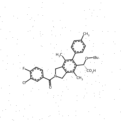 Cc1ccc(-c2c(C)c3c(c(C)c2[C@H](OC(C)(C)C)C(=O)O)CN(C(=O)c2ccc(F)c(Cl)c2)C3)cc1